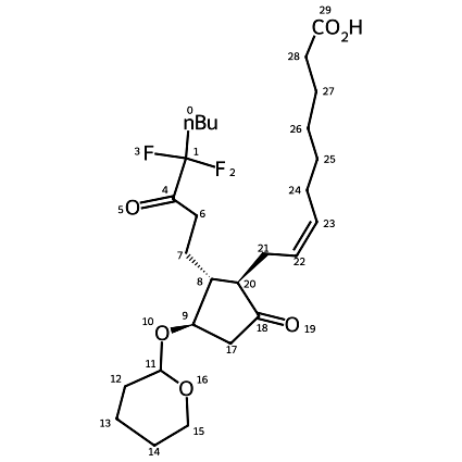 CCCCC(F)(F)C(=O)CC[C@H]1[C@H](OC2CCCCO2)CC(=O)[C@@H]1C/C=C\CCCCCC(=O)O